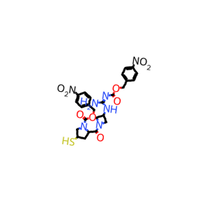 NC(=NC(=O)OCc1ccc([N+](=O)[O-])cc1)NC1CN(C(=O)C2CC(S)CN2C(=O)OCc2ccc([N+](=O)[O-])cc2)C1